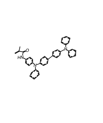 C=C(C)C(=O)Nc1ccc(N(c2ccccc2)c2ccc(-c3ccc(N(c4ccccc4)c4ccccc4)cc3)cc2)cc1